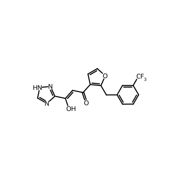 O=C(C=C(O)c1nc[nH]n1)c1ccoc1Cc1cccc(C(F)(F)F)c1